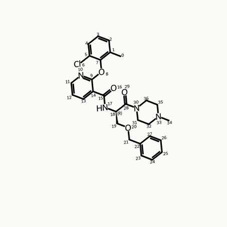 Cc1cccc(Cl)c1Oc1ncccc1C(=O)N[C@H](COCc1ccccc1)C(=O)N1CCN(C)CC1